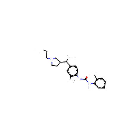 COc1cc(C(NC(C)=O)C2CCN(CCC(=O)O)C2)ccc1NC(=O)Nc1ccccc1C